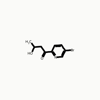 CC(O)CC(=O)c1ccc(Br)cn1